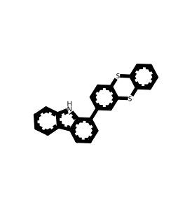 c1ccc2c(c1)Sc1ccc(-c3cccc4c3[nH]c3ccccc34)cc1S2